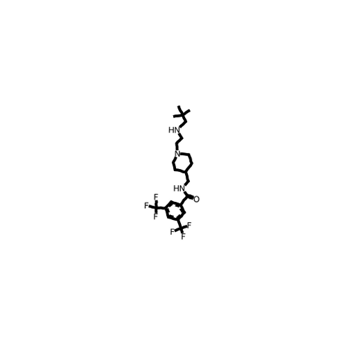 CC(C)(C)CNCCN1CCC(CNC(=O)c2cc(C(F)(F)F)cc(C(F)(F)F)c2)CC1